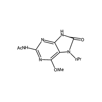 CCCn1c(=O)[nH]c2nc(NC(C)=O)nc(OC)c21